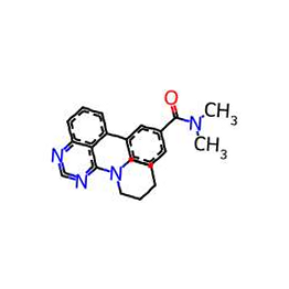 CN(C)C(=O)c1cccc(-c2cccc3ncnc(N4CCCCC4)c23)c1